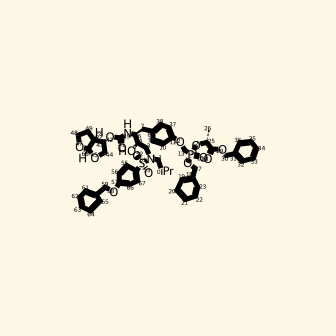 CC(C)CN(C[C@@H](O)[C@H](Cc1ccc(OCP(=O)(OCc2ccccc2)O[C@H](C)C(=O)OCc2ccccc2)cc1)NC(=O)O[C@H]1CO[C@H]2OCC[C@H]21)S(=O)(=O)c1ccc(OCc2ccccc2)cc1